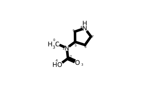 CN(C(=O)O)C1CCNC1